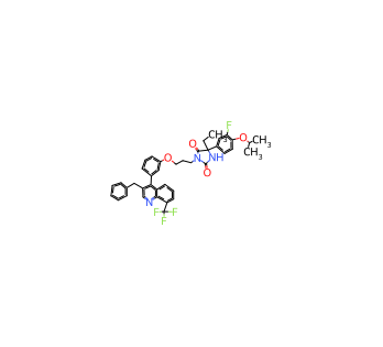 CCC1(c2ccc(OC(C)C)c(F)c2)NC(=O)N(CCCOc2cccc(-c3c(Cc4ccccc4)cnc4c(C(F)(F)F)cccc34)c2)C1=O